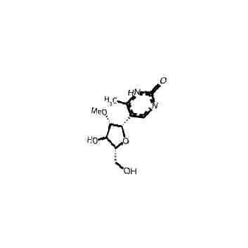 CO[C@H]1C(O)[C@@H](CO)O[C@H]1c1cnc(=O)[nH]c1C